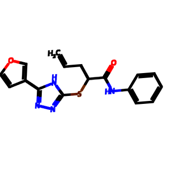 C=CCC(Sc1nnc(-c2ccoc2)[nH]1)C(=O)Nc1ccccc1